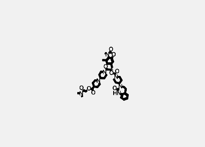 Cc1cc(C[C@@H](OC(=O)N2CCC(N3CCc4ccccc4NC3=O)CC2)C(=O)N2CCC(N3CCC(C(=O)OCC(=O)N(C)C)CC3)CC2)cc2oc(=O)n(C)c12